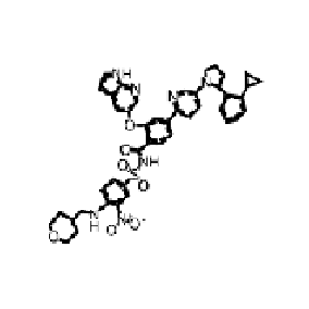 O=C(NS(=O)(=O)c1ccc(NCC2CCOCC2)c([N+](=O)[O-])c1)c1ccc(-c2ccc(N3CCCC3c3ccccc3C3CC3)cn2)cc1Oc1cnc2[nH]ccc2c1